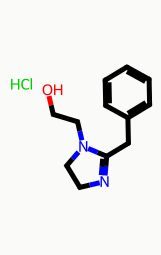 Cl.OCCN1CCN=C1Cc1ccccc1